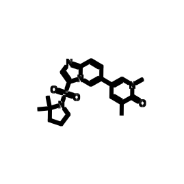 Cc1cc(-c2ccc3ncc(S(=O)(=O)N4CCCC4(C)C)n3c2)cn(C)c1=O